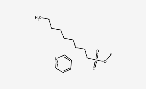 CCCCCCCCCS(=O)(=O)OF.c1ccncc1